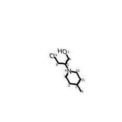 CC1CCN(C(CO)CCl)CC1